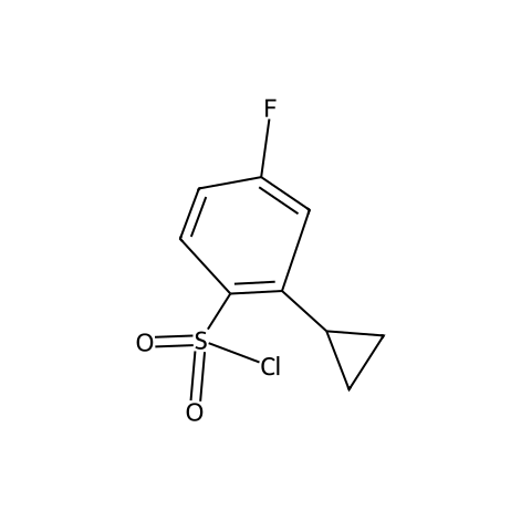 O=S(=O)(Cl)c1ccc(F)cc1C1CC1